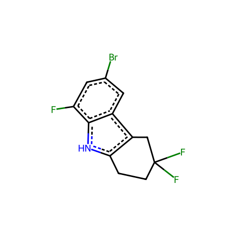 Fc1cc(Br)cc2c3c([nH]c12)CCC(F)(F)C3